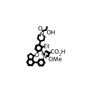 CCc1cc(OC2CCc3cccc(-c4cccc(-n5ncc(C(=O)O)c5OC)c4)c32)ccc1C1CCN(C(=O)C(C)O)CC1